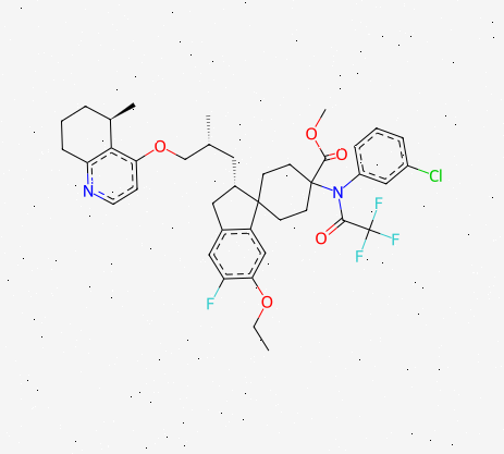 CCOc1cc2c(cc1F)C[C@H](C[C@@H](C)COc1ccnc3c1[C@H](C)CCC3)C21CCC(C(=O)OC)(N(C(=O)C(F)(F)F)c2cccc(Cl)c2)CC1